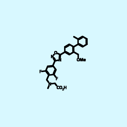 COCc1cc(-c2nc(-c3cc(F)c(CN(C)CC(=O)O)c(F)c3)no2)ccc1-c1ccccc1C